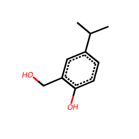 CC(C)c1ccc(O)c(CO)c1